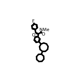 CNC(=O)c1c(-c2ccc(F)cc2)oc2ccc(C3CCCCCC(C4CCCCCCC4)CC3)cc12